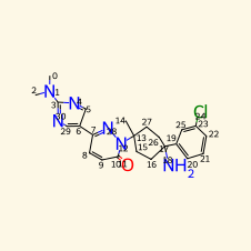 CN(C)c1ncc(-c2ccc(=O)n(C3(C)CCC(N)(c4cccc(Cl)c4)CC3)n2)cn1